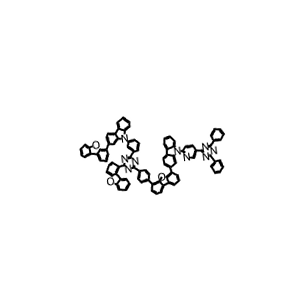 c1ccc(-c2nc(-c3ccccc3)nc(-c3ccc(-n4c5ccccc5c5ccc(-c6cccc7c6oc6c(-c8ccc(-c9nc(-c%10cccc(-n%11c%12ccccc%12c%12ccc(-c%13cccc%14c%13oc%13ccccc%13%14)cc%12%11)c%10)nc(-c%10cccc%11oc%12ccccc%12c%10%11)n9)cc8)cccc67)cc54)nc3)n2)cc1